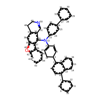 C1=CC(c2ccc(-c3ccccc3)c3ccccc23)CC=C1N(c1ccc(-c2ccccc2)cc1)c1c2c(cc3oc4ccccc4c13)CCN=C2